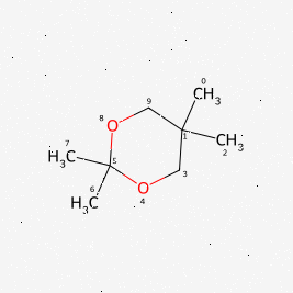 CC1(C)COC(C)(C)OC1